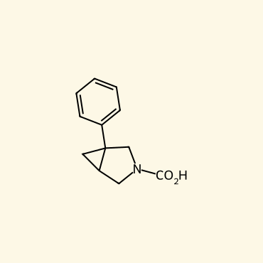 O=C(O)N1CC2CC2(c2ccccc2)C1